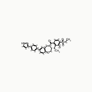 CCc1c(C(=O)N2CCOc3ccc(-c4ccc(-c5cc[nH]n5)cc4)cc3C2)ccc(S(=O)(=O)CC)c1F